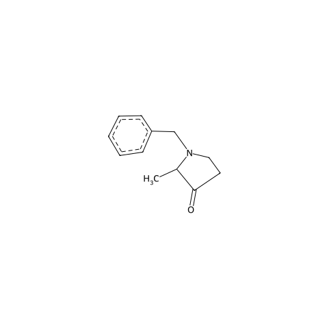 CC1C(=O)CCN1Cc1ccccc1